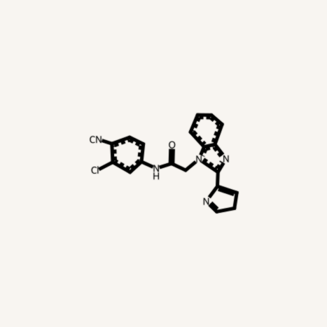 [C-]#[N+]c1ccc(NC(=O)Cn2c(C3=CCC=N3)nc3ccccc32)cc1Cl